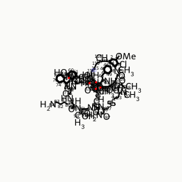 COc1cc2cc(c1Cl)N(C)C(=O)C[C@H](OC(=O)[C@H](C)N(C)C(=O)CCSSC[C@H](NC(=O)[C@@H]1CSSC[C@H](NC(=O)[C@H](N)Cc3ccccc3)C(=O)N[C@@H](Cc3ccc(O)cc3)C(=O)N[C@H](Cc3c[nH]c4ccccc34)C(=O)N[C@@H](CCCCN)C(=O)N[C@@H]([C@@H](C)O)C(=O)N1)C(N)=O)[C@]1(C)O[C@H]1[C@H](C)[C@@H]1C[C@@](O)(NC(=O)O1)[C@H](OC)/C=C/CC(C)C2